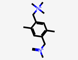 C=[N+](C)Cc1cc(C)c(C[N+](C)(C)C)cc1C